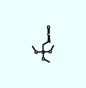 CO[Si](CN=C=O)(OC)OC